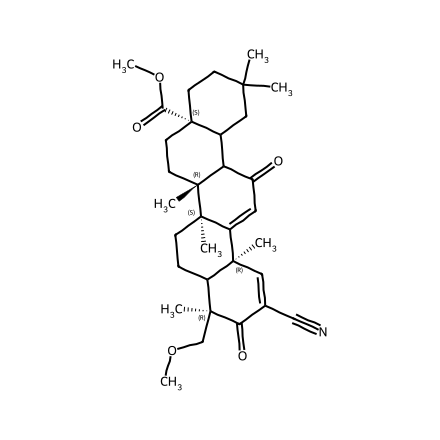 COC[C@]1(C)C(=O)C(C#N)=C[C@]2(C)C3=CC(=O)C4C5CC(C)(C)CC[C@]5(C(=O)OC)CC[C@@]4(C)[C@]3(C)CCC21